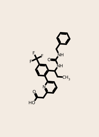 CCC(NC(=O)NCc1ccccc1)c1cc(C(F)(F)F)ccc1-c1cccc(CC(=O)O)n1